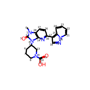 Cn1c(=O)n(C2CCCN(C(=O)O)C2)c2nc(-c3cnn4ccccc34)ccc21